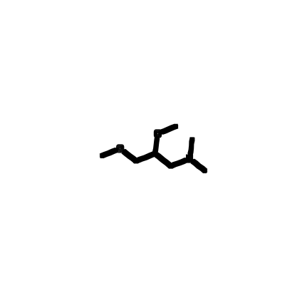 COCC(CN(C)C)OC